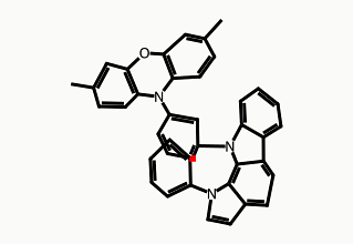 Cc1ccc2c(c1)Oc1cc(C)ccc1N2c1cccc(-n2c3ccccc3c3ccc4ccn(-c5ccccc5)c4c32)c1